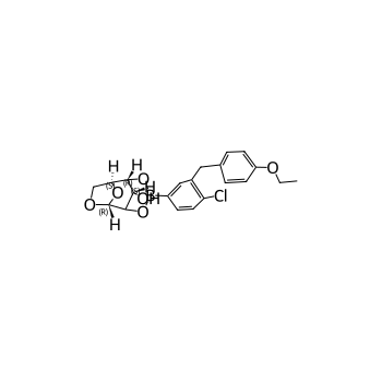 CCOc1ccc(Cc2cc(B3OC4[C@@H]5OC[C@H](O5)[C@H](O3)[C@@H]4O)ccc2Cl)cc1